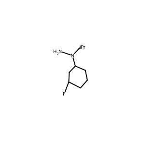 CC(C)N(N)C1CCCC(F)C1